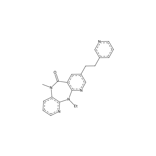 CCN1c2ncc(CCc3cccnc3)cc2C(=O)N(C)c2cccnc21